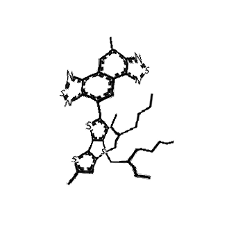 CCCCC(CC)C[Si]1(CC(CC)CCCC)c2cc(C)sc2-c2sc(-c3cc4c(cc(C)c5nsnc54)c4nsnc34)cc21